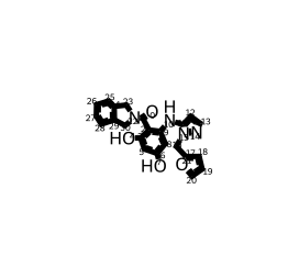 O=C(c1c(O)cc(O)cc1Nc1ccnn1Cc1ccco1)N1Cc2ccccc2C1